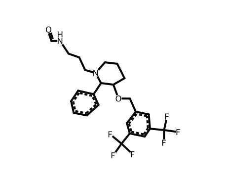 O=CNCCCN1CCCC(OCc2cc(C(F)(F)F)cc(C(F)(F)F)c2)C1c1ccccc1